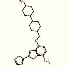 Cc1ccc(OCC2CCC(C3CCC(C)CC3)CC2)c2c1CC(C1=CC=CC1)=C2